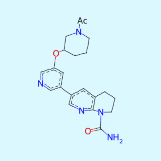 CC(=O)N1CCCC(Oc2cncc(-c3cnc4c(c3)CCCN4C(N)=O)c2)C1